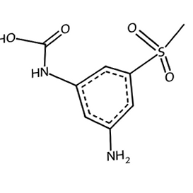 CS(=O)(=O)c1cc(N)cc(NC(=O)O)c1